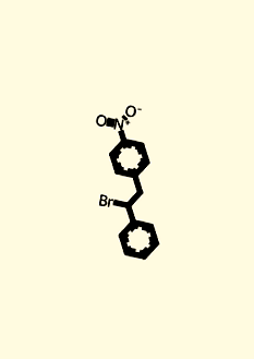 O=[N+]([O-])c1ccc(CC(Br)c2ccccc2)cc1